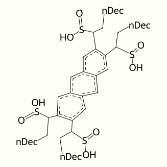 CCCCCCCCCCCC(c1cc2cc3cc(C(CCCCCCCCCCC)S(=O)O)c(C(CCCCCCCCCCC)S(=O)O)cc3cc2cc1C(CCCCCCCCCCC)S(=O)O)S(=O)O